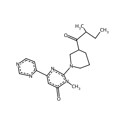 CCC(C)C(=O)C1CCCN(c2nc(-c3ccncn3)cc(=O)n2C)C1